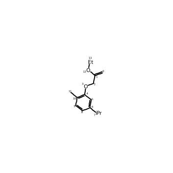 C=C(COc1cc(C(C)C)ccc1C)OCC